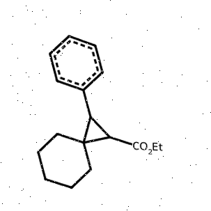 CCOC(=O)C1C(c2ccccc2)C12CCCCC2